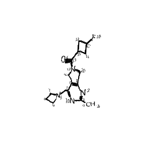 Cc1nc2c(c(N3CCC3)n1)CN(C(=O)C1CC(F)C1)C2